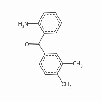 Cc1ccc(C(=O)c2ccccc2N)cc1C